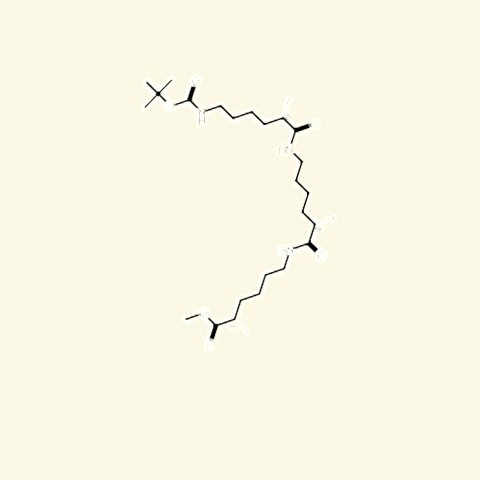 COC(=O)[C@@H](C)CCCCNC(=O)[C@@H](C)CCCCNC(=O)[C@@H](C)CCCCNC(=O)OC(C)(C)C